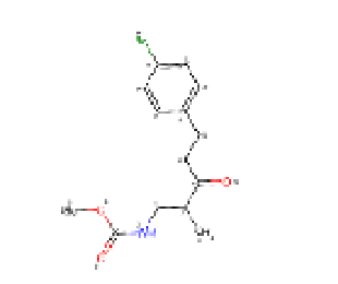 CC(CNC(=O)OC(C)(C)C)C(=O)CCc1ccc(Br)cc1